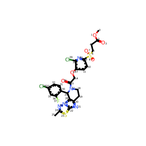 COC(=O)CCS(=O)(=O)c1ccc(OCC(=O)N2CCc3nc4sc(C)nn4c3C2c2ccc(Cl)cc2F)c(Cl)n1